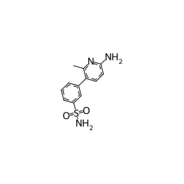 Cc1nc(N)ccc1-c1cccc(S(N)(=O)=O)c1